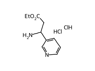 CCOC(=O)CC(N)c1cccnc1.Cl.Cl